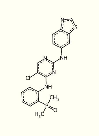 CP(C)(=O)c1ccccc1Nc1nc(Nc2ccc3ncsc3c2)ncc1Cl